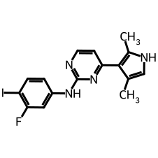 Cc1c[nH]c(C)c1-c1ccnc(Nc2ccc(I)c(F)c2)n1